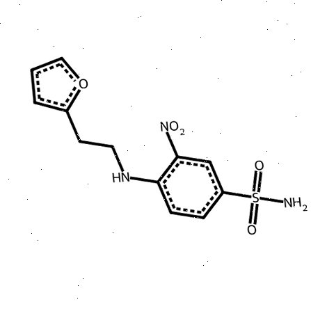 NS(=O)(=O)c1ccc(NCCc2ccco2)c([N+](=O)[O-])c1